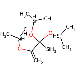 C=C(O[SiH](C)C)C([SiH3])(O[SiH](C)C)O[SiH](C)C